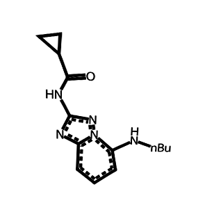 CCCCNc1cccc2nc(NC(=O)C3CC3)nn12